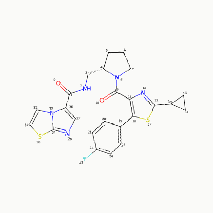 O=C(NC[C@@H]1CCCN1C(=O)c1nc(C2CC2)sc1-c1ccc(F)cc1)c1cnc2sccn12